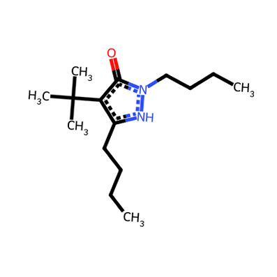 CCCCc1[nH]n(CCCC)c(=O)c1C(C)(C)C